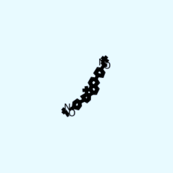 CC1(C)COC(c2ccc(-c3ccc4c(c3)C(C)(C)c3c-4ccc4cc(-c5ccc(C6=NC(C)(C)CO6)cc5)ccc34)cc2)=N1